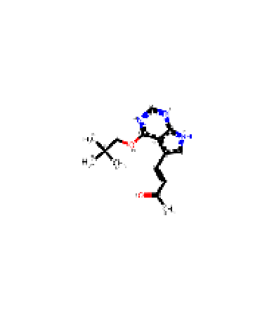 CC(=O)/C=C/c1c[nH]c2ncnc(OCC(C)(C)C)c12